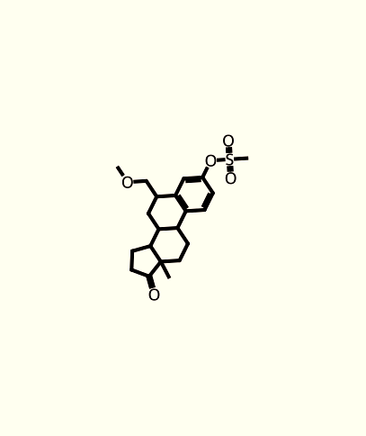 COCC1CC2C(CCC3(C)C(=O)CCC23)c2ccc(OS(C)(=O)=O)cc21